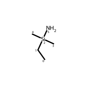 CC[Si](C)(C)N